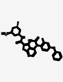 Cc1cc(Oc2ccccc2)ccc1N1C(=O)Nc2c(C(=O)N[C@@H]3C[C@@H](F)CN(C(=O)O)C3)sc3nccc1c23